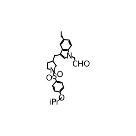 CC(C)Oc1ccc(S(=O)(=O)N2CCC(Cc3cn(CC=O)c4ccc(I)cc34)C2)cc1